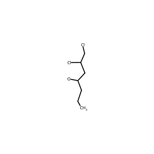 CCCC([O])CC(Cl)CCl